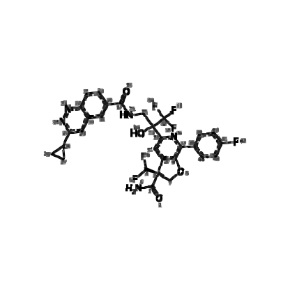 NC(=O)[C@@]1(C(F)F)COc2c1cc(C(O)(CNC(=O)c1ccc3nnc(C4CC4)cc3c1)C(F)(F)F)nc2-c1ccc(F)cc1